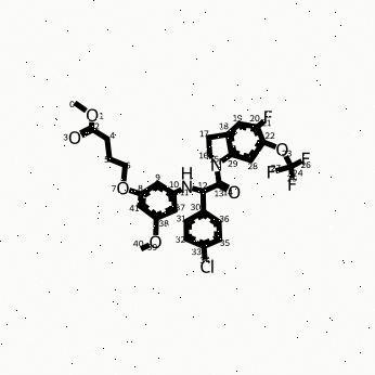 COC(=O)CCCOc1cc(NC(C(=O)N2CCc3cc(F)c(OC(F)(F)F)cc32)c2ccc(Cl)cc2)cc(OC)c1